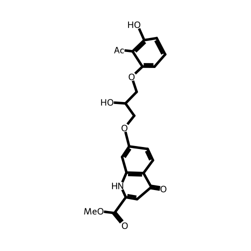 COC(=O)c1cc(=O)c2ccc(OCC(O)COc3cccc(O)c3C(C)=O)cc2[nH]1